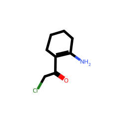 NC1=C(C(=O)CCl)CCCC1